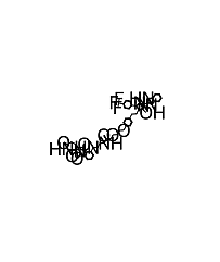 O=C(COCCOc1ccc(CCc2c(-c3ccc(C(F)(F)F)cc3)nn(-c3nc4ccccc4[nH]3)c2O)cc1)NCCNc1cccc2c1C(=O)N(C1CCC(=O)NC1=O)C2=O